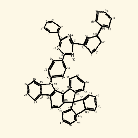 C1=CC(c2nc(-c3ccccc3)nc(-c3ccc(-n4c5ccccc5c5ccc6c(c54)-c4ccccc4C64c5ccccc5-c5ccccc54)cc3)n2)=CC(c2ccccc2)C1